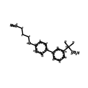 COCCCOc1ccc(-c2cccc(C(C)(C)C(=O)O)c2)nn1